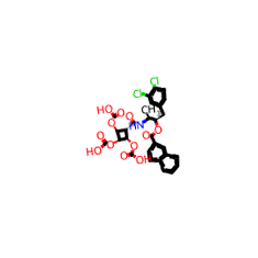 C[C@H](NC(=O)[C@H]1[C@H](OC(=O)O)[C@H](OC(=O)O)[C@@H]1OC(=O)O)[C@@H](Cc1ccc(Cl)c(Cl)c1)OC(=O)c1ccc2ccccc2c1